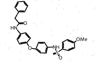 C=S(=O)(Nc1ccc(Oc2ccc(NC(=O)Cc3ccccc3)cc2)cc1)c1ccc(OC)cc1